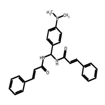 CN(C)c1ccc(C(NC(=O)/C=C/c2ccccc2)NC(=O)/C=C/c2ccccc2)cc1